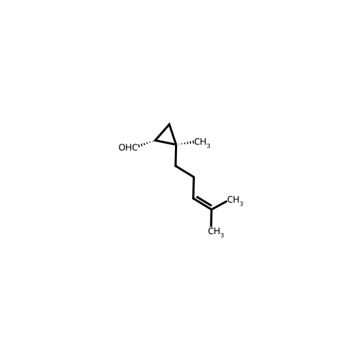 CC(C)=CCC[C@]1(C)C[C@H]1C=O